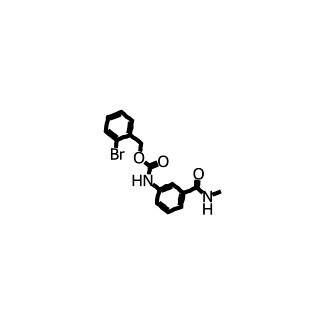 CNC(=O)c1cccc(NC(=O)OCc2ccccc2Br)c1